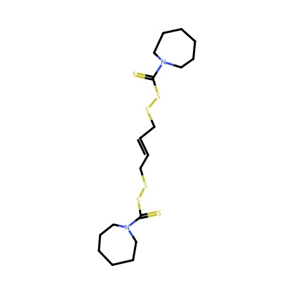 S=C(SSCC=CCSSC(=S)N1CCCCCC1)N1CCCCCC1